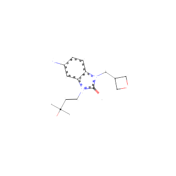 CC(C)(O)CCn1c(=O)n(CC2COC2)c2ccc(N)cc21